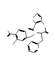 O=C(O)c1ccc(CN2C(=O)c3sccc3NC(=O)C2Cc2ccccn2)cc1Cl